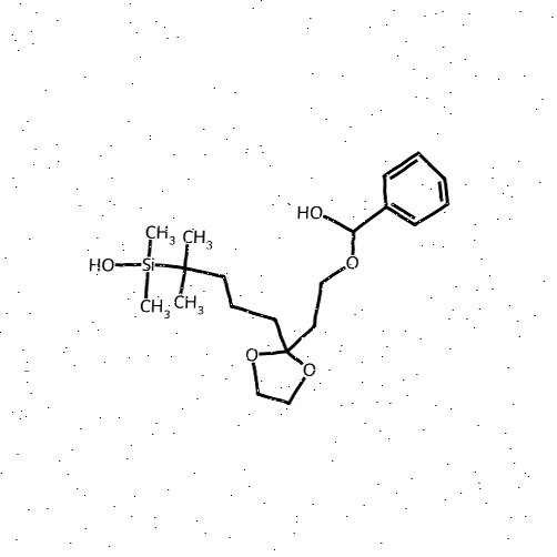 CC(C)(CCCC1(CCOC(O)c2ccccc2)OCCO1)[Si](C)(C)O